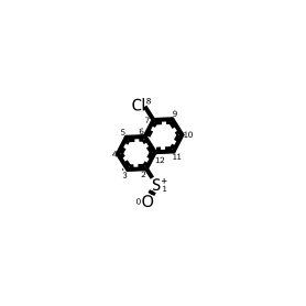 O=[S+]c1[c]ccc2c(Cl)cccc12